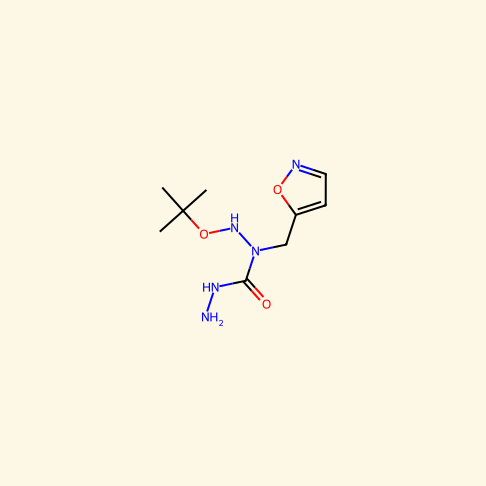 CC(C)(C)ONN(Cc1ccno1)C(=O)NN